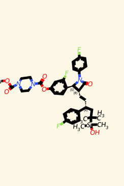 CC(C)(C)OC(=O)N1CCN(C(=O)Oc2ccc([C@@H]3[C@@H](CC[C@H](CC(C)(C)[Si](C)(C)O)c4ccc(F)cc4)C(=O)N3c3ccc(F)cc3)c(F)c2)CC1